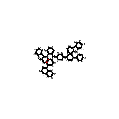 c1ccc(N(c2ccc(-c3ccc(-c4ccccc4-n4c5ccccc5c5ccccc54)cc3)cc2)c2ccc(-c3cccc4ccccc34)cc2)c(-c2cccc3sc4ccccc4c23)c1